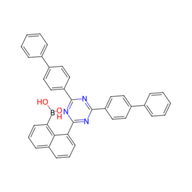 OB(O)c1cccc2cccc(-c3nc(-c4ccc(-c5ccccc5)cc4)nc(-c4ccc(-c5ccccc5)cc4)n3)c12